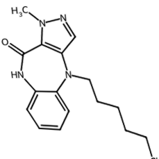 Cn1ncc2c1C(=O)Nc1ccccc1N2CCCCCCl